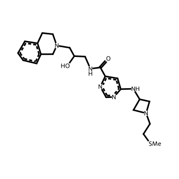 CSCCN1CC(Nc2cc(C(=O)NCC(O)CN3CCc4ccccc4C3)ncn2)C1